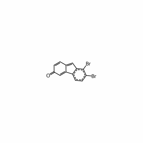 O=C1C=CC2=Cc3c(ccc(Br)c3Br)C2=C1